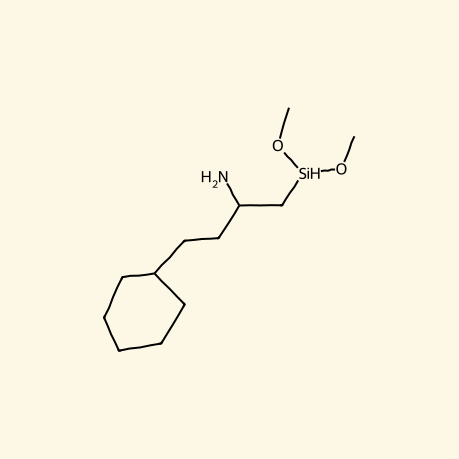 CO[SiH](CC(N)CCC1CCCCC1)OC